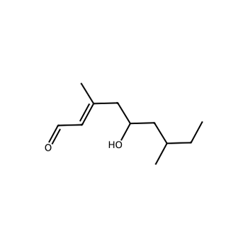 CCC(C)CC(O)CC(C)=CC=O